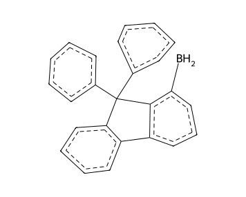 Bc1cccc2c1C(c1ccccc1)(c1ccccc1)c1ccccc1-2